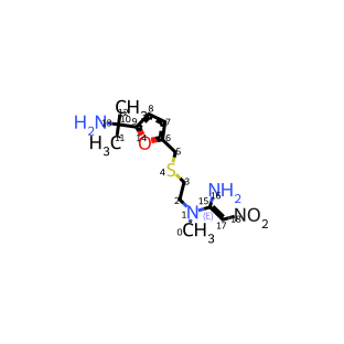 CN(CCSCc1ccc(C(C)(C)N)o1)/C(N)=C/[N+](=O)[O-]